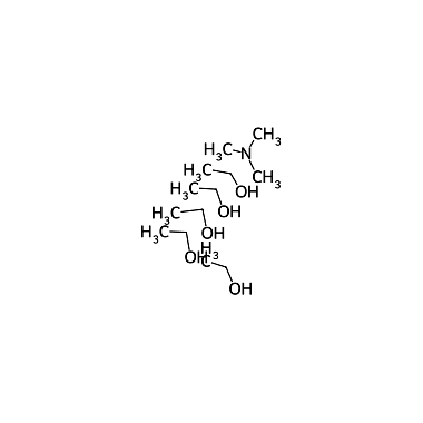 CCO.CCO.CCO.CCO.CCO.CN(C)C